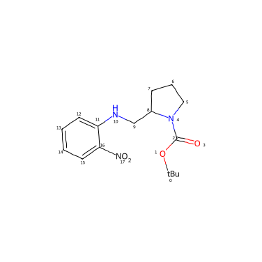 CC(C)(C)OC(=O)N1CCCC1CNc1ccccc1[N+](=O)[O-]